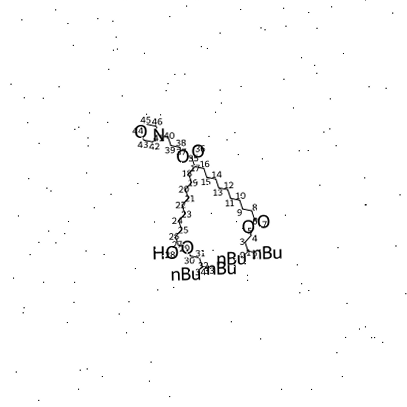 CCCCC(CCCC)CCOC(=O)CCCCCCCCCC(CCCCCCCCCC(O)OCCC(CCCC)CCCC)C(=O)OCCCN1CCOCC1